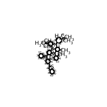 Cc1cc2c3c(c1)N(C1C#CC=C(C(C)(C)C)C=C1)c1ccc(C(C)(C)C)cc1B3c1ccc(N(c3ccccc3)c3ccc(-c4cc5ccccc5s4)cc3)cc1N2c1c(C)cccc1C